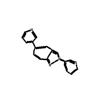 c1cncc(-c2ccc3nn(-c4cccnc4)cc3c2)c1